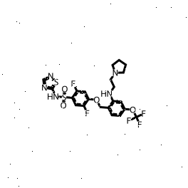 O=S(=O)(Nc1ncns1)c1cc(F)c(OCc2ccc(OC(F)(F)F)cc2NCCN2CCCC2)cc1F